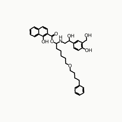 O=C(OC(CCCCCOCCCCc1ccccc1)NCC(O)c1ccc(O)c(CO)c1)c1ccc2ccccc2c1O